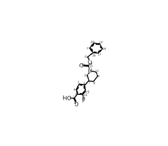 O=C(O)c1ccc(C2CCCN(C(=O)OCc3ccccc3)C2)cc1F